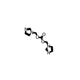 O=C(OCn1ccnc1)OCn1ccnc1